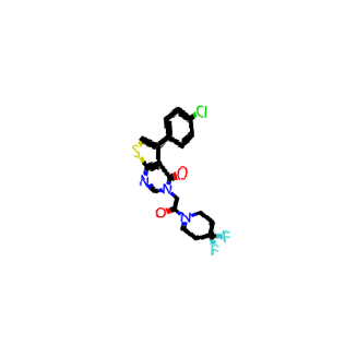 O=C(Cn1cnc2scc(-c3ccc(Cl)cc3)c2c1=O)N1CCC(F)(F)CC1